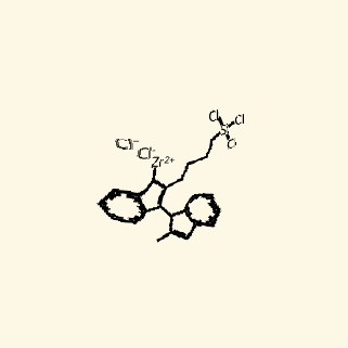 CC1=Cc2ccccc2C1C1=C(CCCC[Si](Cl)(Cl)Cl)[CH]([Zr+2])c2ccccc21.[Cl-].[Cl-]